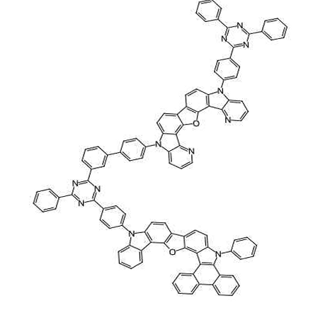 c1ccc(-c2nc(-c3ccccc3)nc(-c3ccc(-n4c5cccnc5c5c6oc7c(ccc8c7c7ncccc7n8-c7ccc(-c8cccc(-c9nc(-c%10ccccc%10)nc(-c%10ccc(-n%11c%12ccccc%12c%12c%13oc%14c(ccc%15c%14c%14c%16ccccc%16c%16ccccc%16c%14n%15-c%14ccccc%14)c%13ccc%12%11)cc%10)n9)c8)cc7)c6ccc54)cc3)n2)cc1